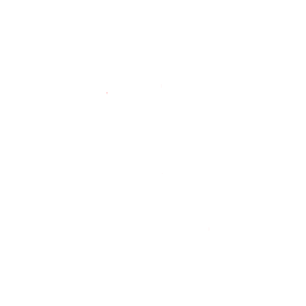 COC(=O)OC1CC/C=C\CCC1(C)OC(=O)OC